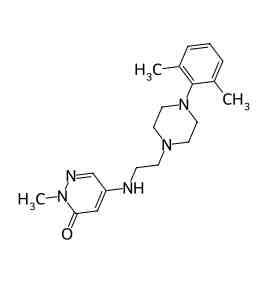 Cc1cccc(C)c1N1CCN(CCNc2cnn(C)c(=O)c2)CC1